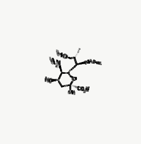 CC(=O)N[C@@H](C1O[C@](O)(C(=O)O)C[C@@H](O)[C@H]1N)[C@@H](C)O